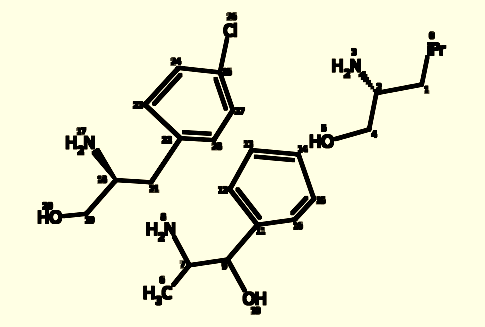 CC(C)C[C@@H](N)CO.CC(N)C(O)c1ccccc1.N[C@H](CO)Cc1ccc(Cl)cc1